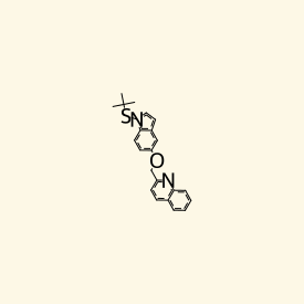 CC(C)(C)Sn1ccc2cc(OCc3ccc4ccccc4n3)ccc21